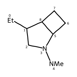 CCC1CN(NC)C2CCC12